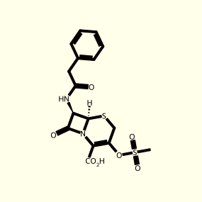 CS(=O)(=O)OC1=C(C(=O)O)N2C(=O)[C@@H](NC(=O)Cc3ccccc3)[C@H]2SC1